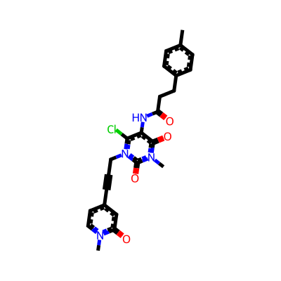 Cc1ccc(CCC(=O)Nc2c(Cl)n(CC#Cc3ccn(C)c(=O)c3)c(=O)n(C)c2=O)cc1